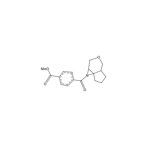 COC(=O)c1ccc(C(=O)N2C3COCC4CCCC432)cc1